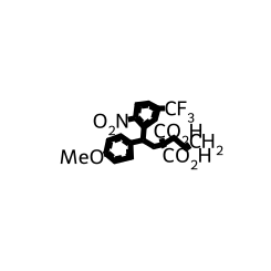 C=CCC(CC(c1ccc(OC)cc1)c1cc(C(F)(F)F)ccc1[N+](=O)[O-])(C(=O)O)C(=O)O